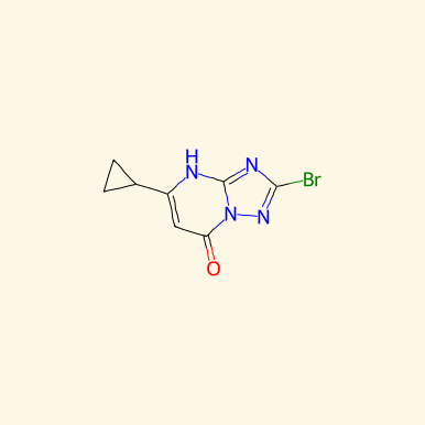 O=c1cc(C2CC2)[nH]c2nc(Br)nn12